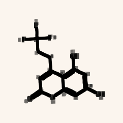 O=c1cc(CCC(F)(F)F)c2c(O)cc(O)cc2o1